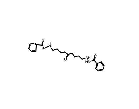 O=C(CCCCNNC(=O)c1ccccc1)CCCCNNC(=O)c1ccccc1